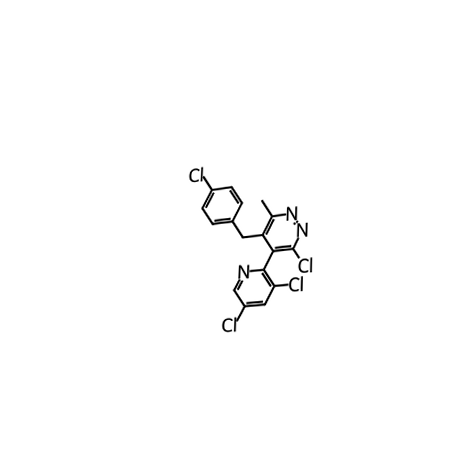 Cc1nnc(Cl)c(-c2ncc(Cl)cc2Cl)c1Cc1ccc(Cl)cc1